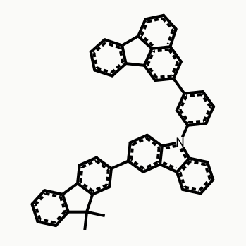 CC1(C)c2ccccc2-c2ccc(-c3ccc4c(c3)c3ccccc3n4-c3cccc(-c4cc5c6c(cccc6c4)-c4ccccc4-5)c3)cc21